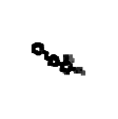 Nc1ncc(-c2ccc(CCN3CCCCC3)cc2)c(N)n1